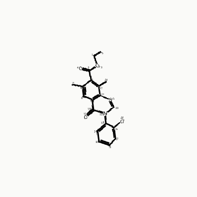 CCOC(=O)c1c(C)cc2c(=O)n(-c3ccccc3Cl)cnc2c1C